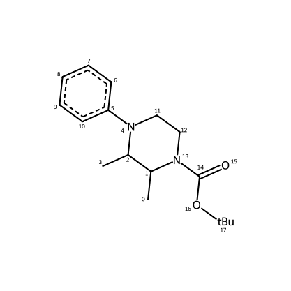 CC1C(C)N(c2ccccc2)CCN1C(=O)OC(C)(C)C